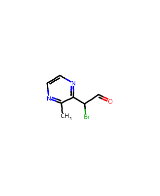 Cc1nccnc1C(Br)C=O